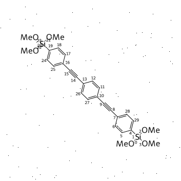 CO[Si](OC)(OC)c1ccc(C#Cc2ccc(C#Cc3ccc([Si](OC)(OC)OC)cc3)cc2)cc1